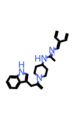 C=CC(C=C)=C/N=C(\C)NC1CCN(C(=C)Cc2c[nH]c3ccccc23)CC1